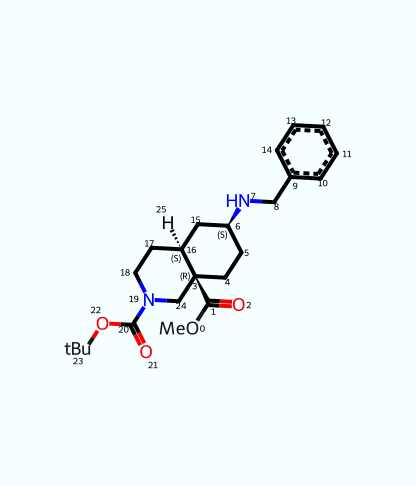 COC(=O)[C@]12CC[C@H](NCc3ccccc3)C[C@@H]1CCN(C(=O)OC(C)(C)C)C2